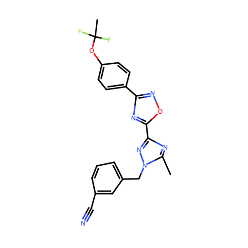 Cc1nc(-c2nc(-c3ccc(OC(C)(F)F)cc3)no2)nn1Cc1cccc(C#N)c1